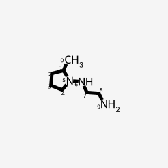 CC1CCCN1NCCN